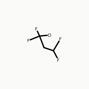 FC(F)CC(F)(F)Cl